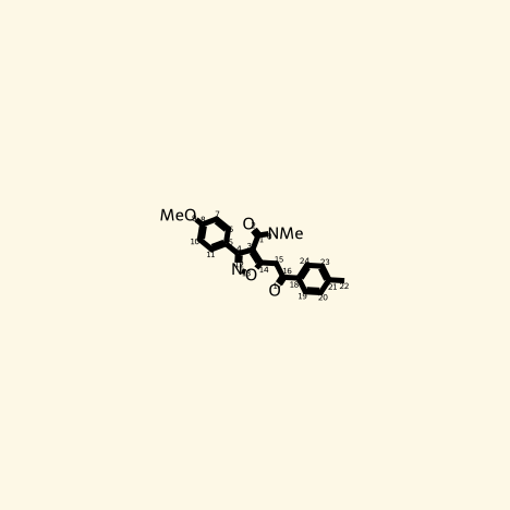 CNC(=O)c1c(-c2ccc(OC)cc2)noc1CC(=O)c1ccc(C)cc1